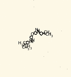 CCC(C)(C)c1ccc(-n2nnc3cc(Oc4ccc5c(c4)nnn5-c4ccc5c(c4)C5(C)CC)ccc32)cc1